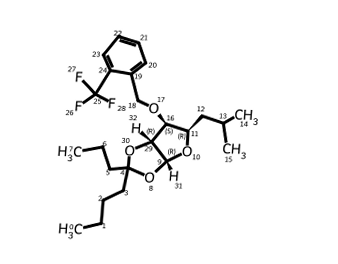 CCCCC1(CCC)O[C@H]2O[C@H](CC(C)C)[C@H](OCc3ccccc3C(F)(F)F)[C@H]2O1